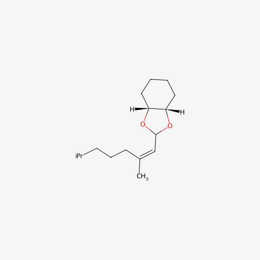 CC(=CC1O[C@H]2CCCC[C@H]2O1)CCCC(C)C